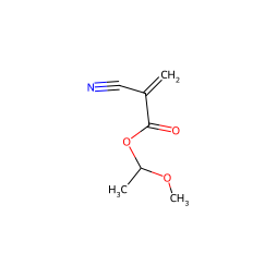 C=C(C#N)C(=O)OC(C)OC